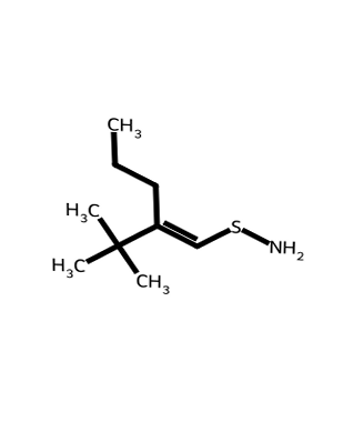 CCC/C(=C\SN)C(C)(C)C